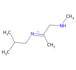 CNC/C(C)=N/CC(C)C